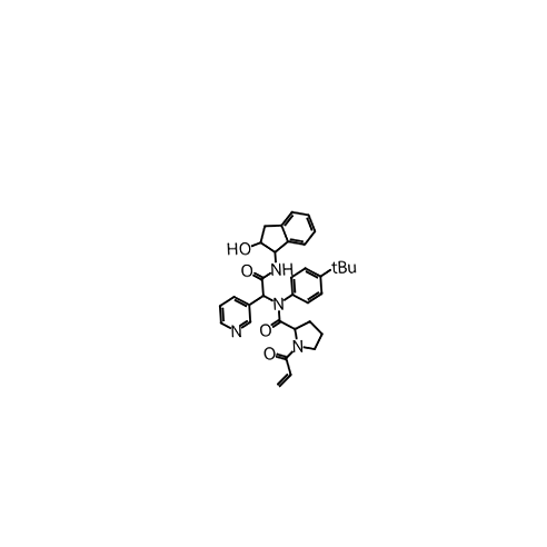 C=CC(=O)N1CCCC1C(=O)N(c1ccc(C(C)(C)C)cc1)C(C(=O)NC1c2ccccc2CC1O)c1cccnc1